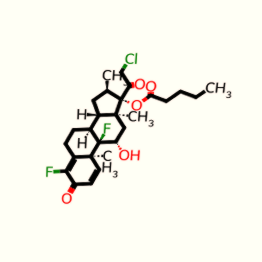 CCCCC(=O)O[C@@]1(C(=O)CCl)[C@H](C)C[C@H]2[C@@H]3CCC4=C(F)C(=O)C=C[C@]4(C)[C@@]3(F)[C@@H](O)C[C@@]21C